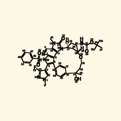 Cn1cc(-c2c3c4c(ncc5c4n(c(=O)n5C)[C@H]4C[C@H](NC(=O)OC(C)(C)C)[C@@H](C4)OCCC(C)(O)c4ccc-3cc4)n2S(=O)(=O)c2ccccc2)c(F)n1